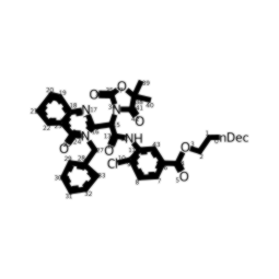 CCCCCCCCCCCCOC(=O)c1ccc(Cl)c(NC(=O)C(c2nc3ccccc3c(=O)n2Cc2ccccc2)N2C(=O)OC(C)(C)C2=O)c1